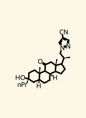 CCC[C@@]1(O)CC[C@]2(C)C3C(=O)C[C@@]4(C)C(CCC4[C@H](C)Cn4cc(C#N)cn4)[C@@H]3CC[C@@H]2C1